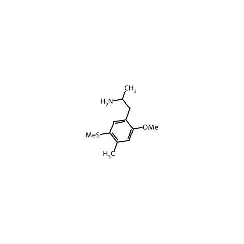 COc1cc(C)c(SC)cc1CC(C)N